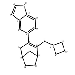 c1cc2cc(C3=C(CN4CCC4)C4CCC(C3)C4)ccc2s1